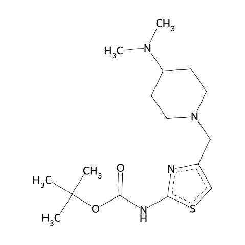 CN(C)C1CCN(Cc2csc(NC(=O)OC(C)(C)C)n2)CC1